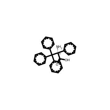 N[C@@](C(=O)O)(c1ccccc1)C(c1ccccc1)(c1ccccc1)c1ccccc1